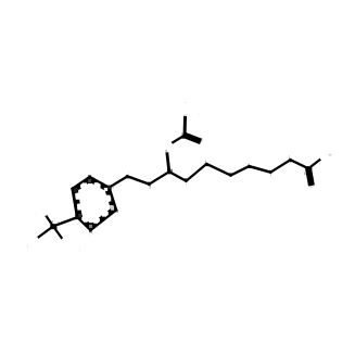 CC(=O)OC(CCCCCCC(=O)O)CCc1ccc(C(C)(C)C)cc1